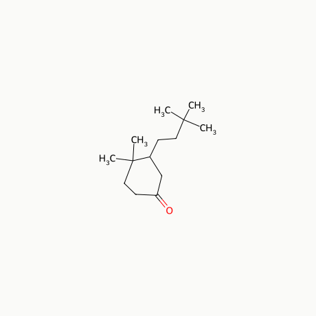 CC(C)(C)CCC1CC(=O)CCC1(C)C